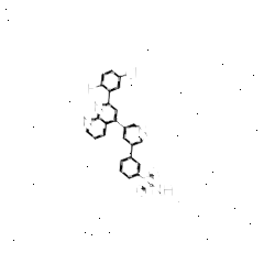 NS(=O)(=O)c1cccc(-c2cncc(-c3cc(-c4cc(Cl)ccc4F)nc4ncccc34)c2)c1